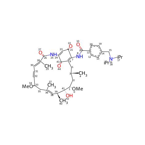 CO[C@H]1C[C@H](C)CC2=C(NC(=O)c3ccc(CN(C(C)C)C(C)C)cc3)C(=O)C=C(NC(=O)/C(C)=C/C=C\[C@H](OC)C/C(C)=C/[C@H](C)[C@H]1O)C2=O